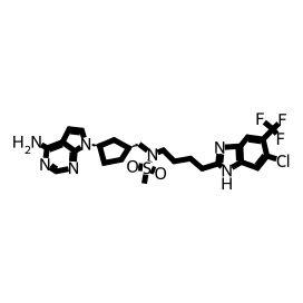 CS(=O)(=O)N(CCCCc1nc2cc(C(F)(F)F)c(Cl)cc2[nH]1)C[C@@H]1CC[C@H](n2ccc3c(N)ncnc32)C1